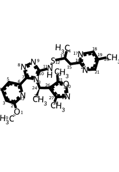 COc1cccc(-c2nnc(NSC(C)Cc3ncc(C)cn3)n2[C@H](C)c2c(C)noc2C)n1